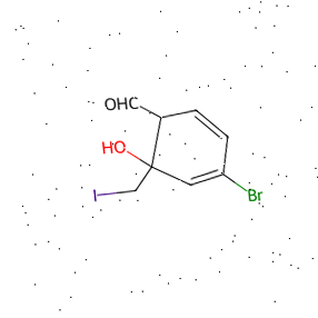 O=CC1C=CC(Br)=CC1(O)CI